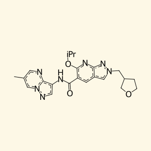 Cc1cnc2c(NC(=O)c3cc4cn(CC5CCOC5)nc4nc3OC(C)C)cnn2c1